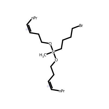 CCC/C=C\CCO[Si](C)(CCCCBr)OCC/C=C\CCC